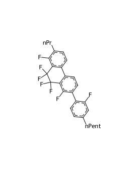 CCCCCc1ccc(-c2ccc3c(c2F)C(F)(F)C(F)(F)c2c-3ccc(CCC)c2F)c(F)c1